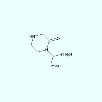 CCCCCCCC(CCCCCCC)N1CCNCC1=O